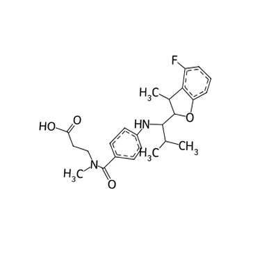 CC(C)C(Nc1ccc(C(=O)N(C)CCC(=O)O)cc1)C1Oc2cccc(F)c2C1C